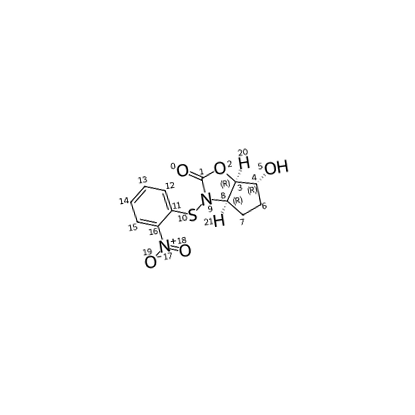 O=C1O[C@H]2[C@H](O)CC[C@H]2N1Sc1ccccc1[N+](=O)[O-]